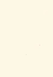 COC1=CCC(C(O)C[Si](c2ccccc2)(c2ccccc2)C(C)(C)C)=CC1